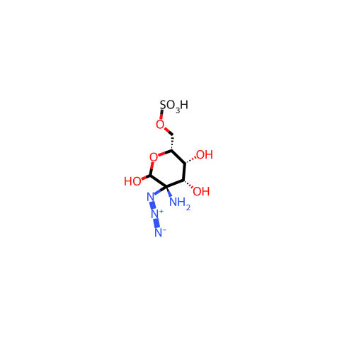 [N-]=[N+]=N[C@]1(N)C(O)O[C@H](COS(=O)(=O)O)[C@H](O)[C@@H]1O